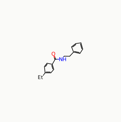 CCc1ccc(C(=O)NCCc2ccccc2)cc1